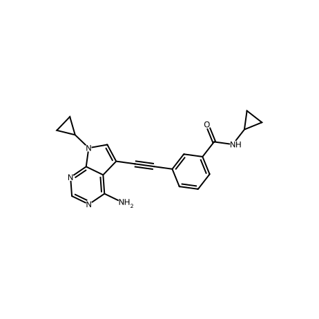 Nc1ncnc2c1c(C#Cc1cccc(C(=O)NC3CC3)c1)cn2C1CC1